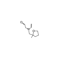 C=CN(CC=O)CC1(C)CCCO1